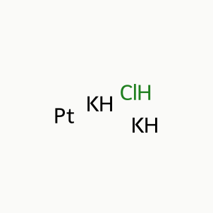 Cl.[KH].[KH].[Pt]